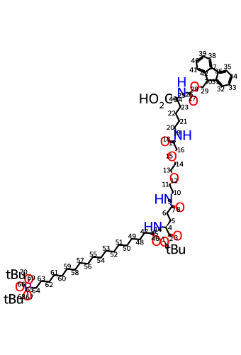 CC(C)(C)OC(=O)[C@H](CCC(=O)NCCOCCOCC(=O)NCCCC[C@H](NC(=O)OCC1c2ccccc2-c2ccccc21)C(=O)O)NC(=O)CCCCCCCCCCCCCCCCCCP(=O)(OC(C)(C)C)OC(C)(C)C